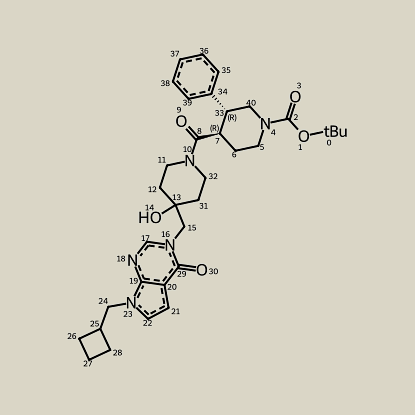 CC(C)(C)OC(=O)N1CC[C@@H](C(=O)N2CCC(O)(Cn3cnc4c(ccn4CC4CCC4)c3=O)CC2)[C@H](c2ccccc2)C1